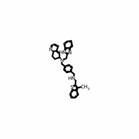 Cc1c(CNCc2ccc(CN(Cc3nc4ccccc4[nH]3)C3C=C4C=CC=NC4CC3)cc2)sc2ccccc12